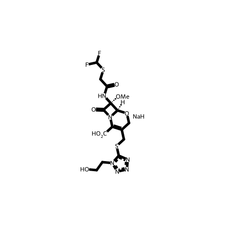 CO[C@@]1(NC(=O)CSC(F)F)C(=O)N2C(C(=O)O)=C(CSc3nnnn3CCO)CO[C@@H]21.[NaH]